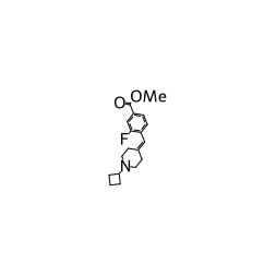 COC(=O)c1ccc(C=C2CCN(C3CCC3)CC2)c(F)c1